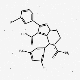 NC(=O)c1c(-c2cccc(F)c2)nn2c1C(c1cc(C(F)(F)F)cc(C(F)(F)F)c1)N(C(N)=O)CC2